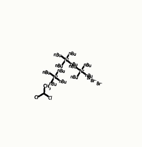 CC(Cl)Cl.CCCC[N+](CCCC)(CCCC)CCCC.CCCC[N+](CCCC)(CCCC)CCCC.CCCC[N+](CCCC)(CCCC)CCCC.[Br-].[Br-].[Br-]